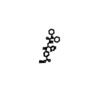 COC(=O)c1ccc(NC(CNC(=O)N(C2CCCCC2)C2CCCCC2)c2cncs2)cc1